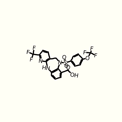 O=C(O)c1cccc2c1N(S(=O)(=O)c1ccc(OC(F)(F)F)cc1)Cc1ccc(C(F)(F)F)nc1N2